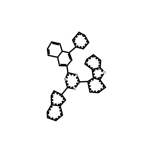 C1=CC2C=C(c3nc(-c4ccc5ccccc5c4)nc(-c4cccc5oc6ccccc6c45)n3)C=C(c3ccccc3)C2C=C1